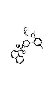 COc1ccc(C)cc1[C@@H]1CN(S(=O)(=O)c2cccc3ccccc23)C[C@@H]1CC=O